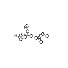 CC1(C)c2ccccc2-c2ccc(N(c3ccc(-c4ccc5c(c4)c4cc6ccn(-c7ccccc7)c6cc4n5-c4ccccc4)cc3)c3ccc(-c4ccccn4)cc3)cc21